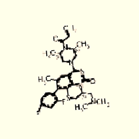 C=CC(=O)N1[C@H](C)CN(c2nc(=O)n3c4c(c(-c5ccc(F)cc5F)c(C)cc24)SC[C@@H]3CN(C)C)C[C@@H]1C